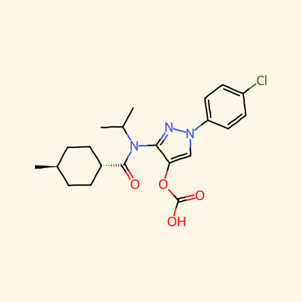 CC(C)N(c1nn(-c2ccc(Cl)cc2)cc1OC(=O)O)C(=O)[C@H]1CC[C@H](C)CC1